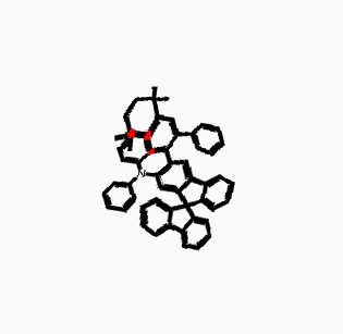 CC1(C)CCC(C)(C)c2cc(-c3cc4c(cc3N(c3ccccc3)c3ccccc3)C3(c5ccccc5-c5ccccc53)c3ccccc3-4)c(-c3ccccc3)cc21